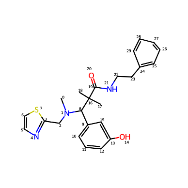 CN(Cc1nccs1)C(c1cccc(O)c1)C(C)(C)C(=O)NCCc1ccccc1